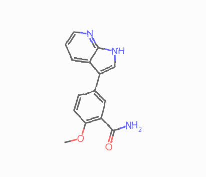 COc1ccc(-c2c[nH]c3ncccc23)cc1C(N)=O